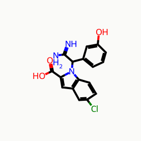 N=C(N)C(c1cccc(O)c1)n1c(C(=O)O)cc2cc(Cl)ccc21